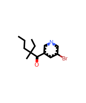 CCCC(C)(CC)C(=O)c1cncc(Br)c1